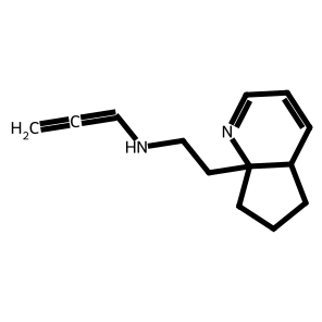 C=C=CNCCC12CCCC1C=CC=N2